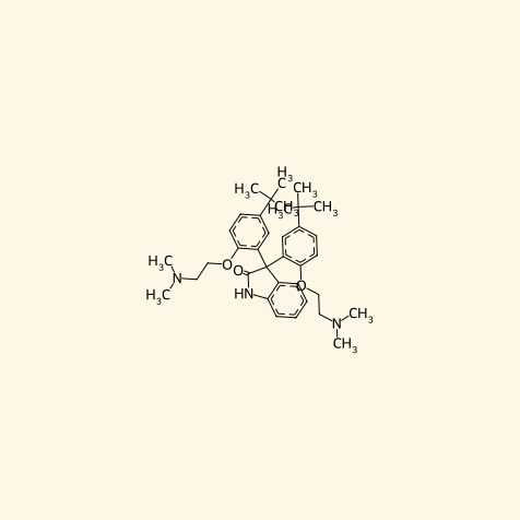 CN(C)CCOc1ccc(C(C)(C)C)cc1C1(c2cc(C(C)(C)C)ccc2OCCN(C)C)C(=O)Nc2ccccc21